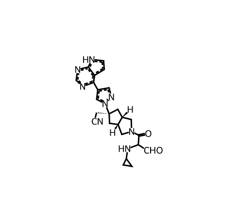 N#CC[C@@]1(n2cc(-c3ncnc4[nH]ccc34)cn2)C[C@H]2CN(C(=O)C(C=O)NC3CC3)C[C@H]2C1